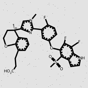 Cn1cc([C@]2(C)CCOc3c(CCC(=O)O)cccc32)nc1-c1cc(Oc2c(F)c(F)c3[nH]ccc3c2S(C)(=O)=O)ccc1F